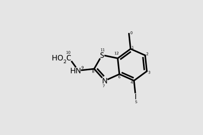 Cc1ccc(I)c2nc(NC(=O)O)sc12